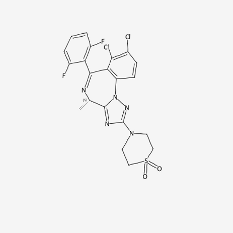 C[C@@H]1N=C(c2c(F)cccc2F)c2c(ccc(Cl)c2Cl)-n2nc(N3CCS(=O)(=O)CC3)nc21